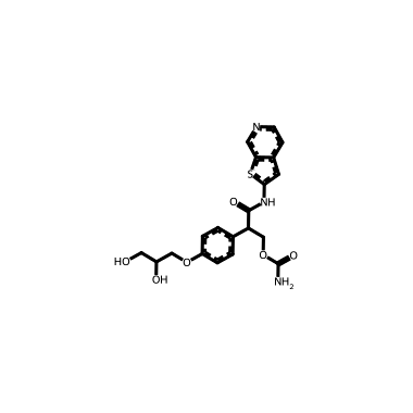 NC(=O)OCC(C(=O)Nc1cc2ccncc2s1)c1ccc(OCC(O)CO)cc1